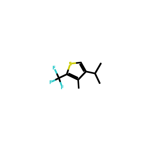 Cc1c(C(C)C)csc1C(F)(F)F